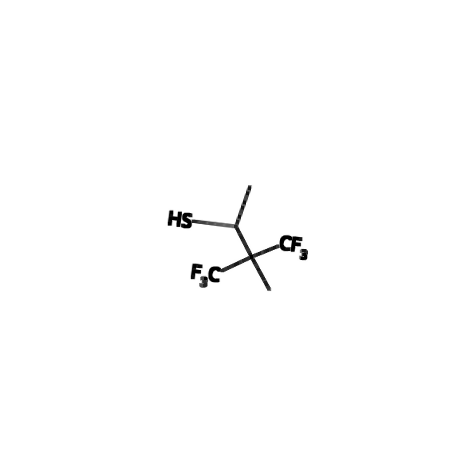 CC(S)C(C)(C(F)(F)F)C(F)(F)F